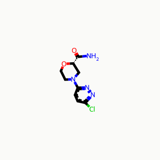 NC(=O)[C@@H]1CN(c2ccc(Cl)nn2)CCO1